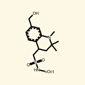 CCCCCCCCNS(=O)(=O)CC1CC(C)(C)N(C)c2cc(CO)ccc21